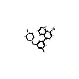 Cc1cc(CN2CCN(C)CC2)cc(-c2ccc(C#N)c3ncccc23)c1